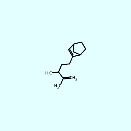 C=C(C)C(C)CCC1=CC2CCC1C2